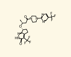 C[C@@H](CC(=O)N1CCN(c2ncc(C(F)(F)F)cn2)CC1)O[C@@H]1CCc2c1n[nH]c(=O)c2C(F)(F)F